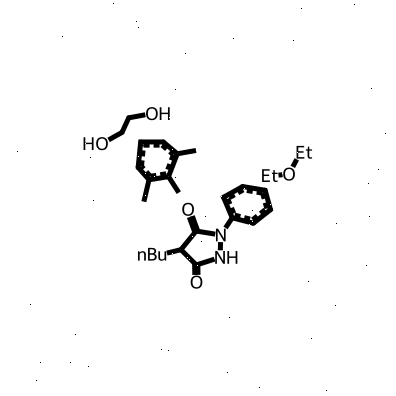 CCCCC1C(=O)NN(c2ccccc2)C1=O.CCOCC.Cc1cccc(C)c1C.OCCO